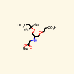 CC(C)(C)OC(=O)CNC(COCCC(=O)O)COC(CC(=O)O)(C(C)(C)C)C(C)(C)C